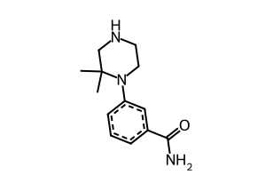 CC1(C)CNCCN1c1cccc(C(N)=O)c1